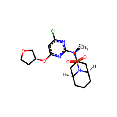 CCS(=O)(=O)N1[C@@H]2CCC[C@H]1C[C@@H](N(C)c1nc(Cl)cc(O[C@H]3CCOC3)n1)C2